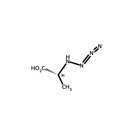 C[C@@H](NN=[N+]=[N-])C(=O)O